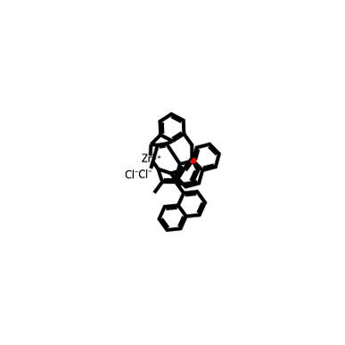 CC1=C(c2cccc3ccccc23)c2c3cccc2[CH]1[Zr+2][CH]1C(C)=C(c2cccc4ccccc24)c2c(cccc21)C3.[Cl-].[Cl-]